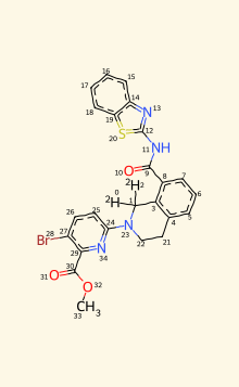 [2H]C1([2H])c2c(cccc2C(=O)Nc2nc3ccccc3s2)CCN1c1ccc(Br)c(C(=O)OC)n1